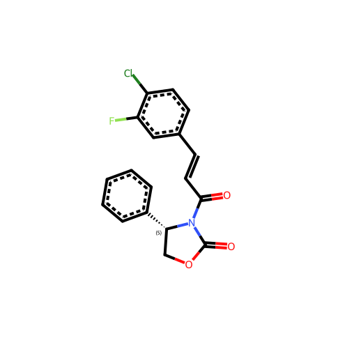 O=C(C=Cc1ccc(Cl)c(F)c1)N1C(=O)OC[C@@H]1c1ccccc1